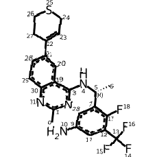 Cc1nc(N[C@H](C)c2cc(N)cc(C(F)(F)F)c2F)c2cc(C3=CCSCC3)ccc2n1